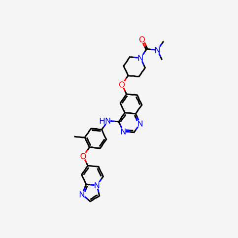 Cc1cc(Nc2ncnc3ccc(OC4CCN(C(=O)N(C)C)CC4)cc23)ccc1Oc1ccn2ccnc2c1